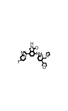 O=C1NCc2c(-c3cnc4cc(F)ccn34)ccc(Nc3ccc(C4CCOC4)c(CN4CCC4)n3)c21